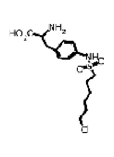 NC(Cc1ccc(NS(=O)(=O)CCCCCCCl)cc1)C(=O)O